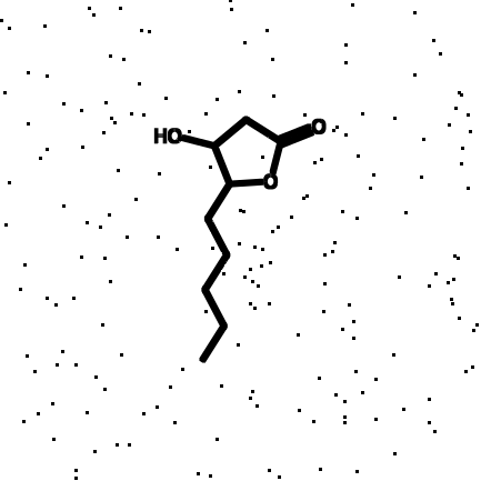 CCCCCC1OC(=O)CC1O